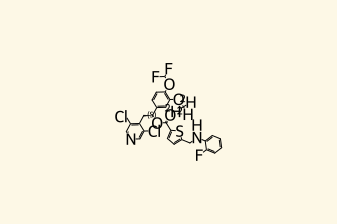 [2H]C([2H])([2H])Oc1cc([C@H](Cc2c(Cl)cncc2Cl)OC(=O)c2ccc(CNc3ccccc3F)s2)ccc1OC(F)F